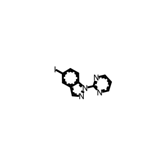 Ic1ccc2c(cnn2-c2ncccn2)c1